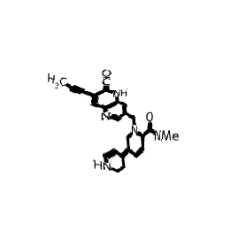 CC#CC1=Cc2ncc(CN3CC(=C4C=CNCC4)C=CC3C(=O)NC)cc2NC1=C=O